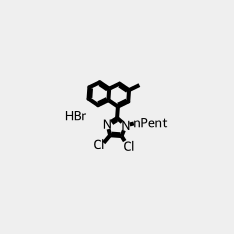 Br.CCCCCn1c(-c2cc(C)cc3ccccc23)nc(Cl)c1Cl